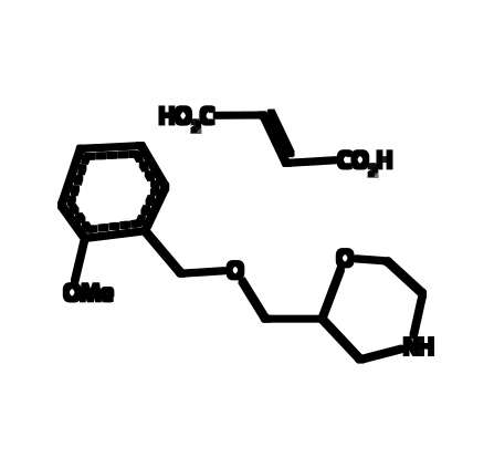 COc1ccccc1COCC1CNCCO1.O=C(O)C=CC(=O)O